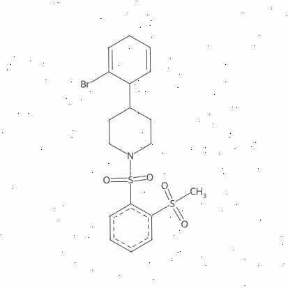 CS(=O)(=O)c1ccccc1S(=O)(=O)N1CCC(C2C=CCC=C2Br)CC1